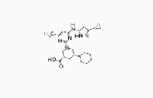 Cc1cc(Nc2cc(C3CC3)n[nH]2)nc(N2C[C@H](C(=O)O)C[C@H](C3CCCCC3)C2)n1